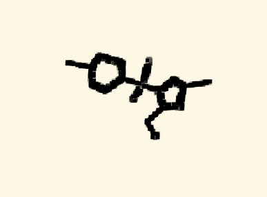 Cc1ccc(S(=O)(=O)n2cc(C)nc2C[O])cc1